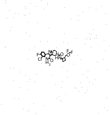 NC(=O)c1c(-c2ccc(F)c(Cl)c2)nn2c1CN(C(=O)N[C@@H]1CCC1COC(F)F)CC2